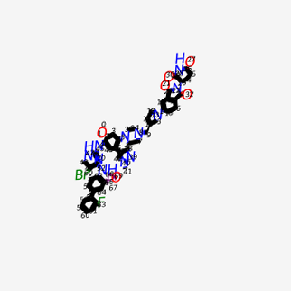 COc1cc(N2CCN(C[C@H]3CCN(c4ccc5c(c4)C(=O)N(C4CCC(=O)NC4=O)C5=O)C3)CC2)c(-c2cnn(C)c2)cc1Nc1ncc(Br)c(Nc2ccc(-c3ccccc3F)cc2P(C)(C)=O)n1